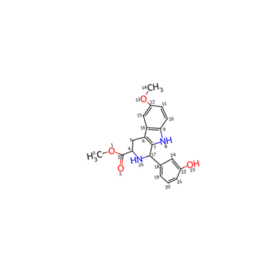 COC(=O)C1Cc2c([nH]c3ccc(OC)cc23)C(c2cccc(O)c2)N1